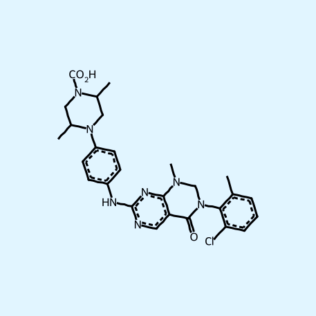 Cc1cccc(Cl)c1N1CN(C)c2nc(Nc3ccc(N4CC(C)N(C(=O)O)CC4C)cc3)ncc2C1=O